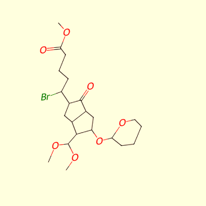 COC(=O)CCCC(Br)C1CC2C(CC(OC3CCCCO3)C2C(OC)OC)C1=O